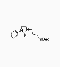 CCCCCCCCCCCCCCN1C=CN(c2ccccc2)C1CC